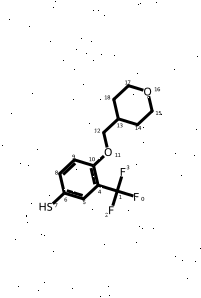 FC(F)(F)c1cc(S)ccc1OCC1CCOCC1